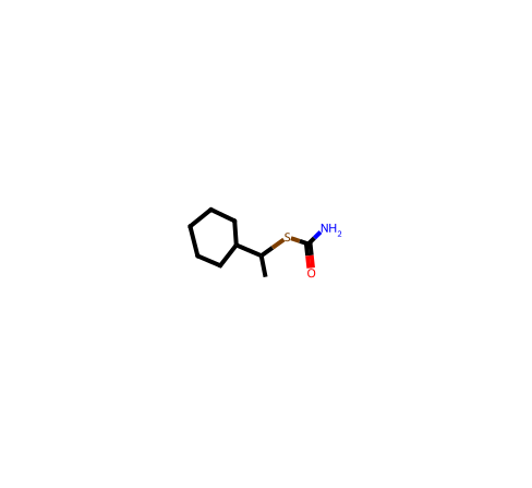 CC(SC(N)=O)C1CCCCC1